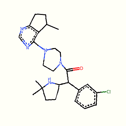 CC1CCc2ncnc(N3CCN(C(=O)C(c4cccc(Cl)c4)C4CCC(C)(C)N4)CC3)c21